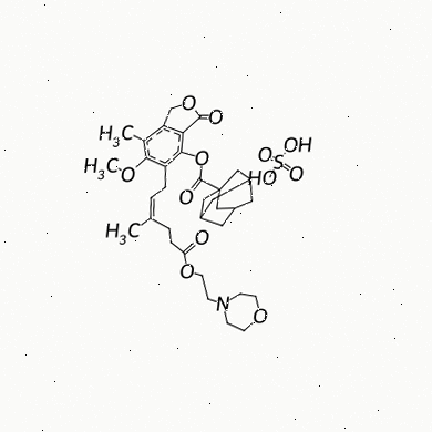 COc1c(C)c2c(c(OC(=O)C34CC5CC(CC(C5)C3)C4)c1CC=C(C)CCC(=O)OCCN1CCOCC1)C(=O)OC2.O=S(=O)(O)O